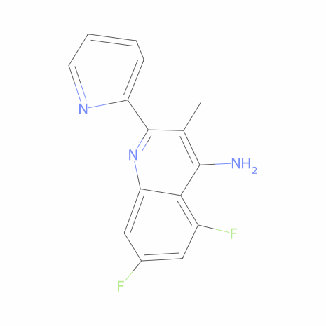 Cc1c(-c2ccccn2)nc2cc(F)cc(F)c2c1N